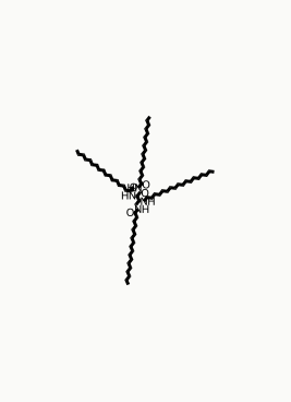 CCCCCCCCCCCCCCCCCC(=O)NCC(NC(=O)CCCCCCCCCCCCCCCCC)C(CNC(=O)CCCCCCCCCCCCCCCC)NC(=O)CCCCCCCCCCCCCCCC